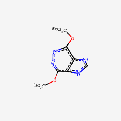 CCOC(=O)Oc1nnc(OC(=O)OCC)c2[nH]cnc12